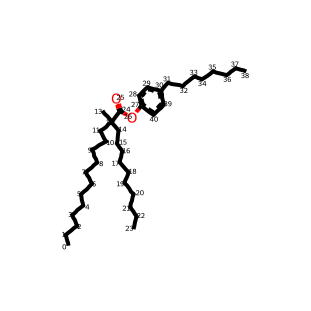 CCCCCCCCCCCCC(C)(CCCCCCCCCC)C(=O)Oc1ccc(CCCCCCCC)cc1